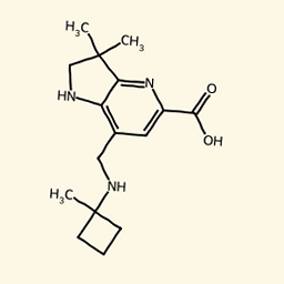 CC1(NCc2cc(C(=O)O)nc3c2NCC3(C)C)CCC1